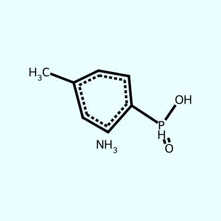 Cc1ccc([PH](=O)O)cc1.N